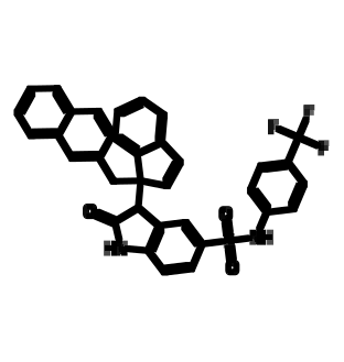 O=C1Nc2ccc(S(=O)(=O)Nc3ccc(C(F)(F)F)cc3)cc2C1C1(Cc2ccc3ccccc3c2)C=Cc2ccccc21